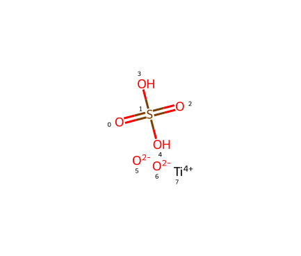 O=S(=O)(O)O.[O-2].[O-2].[Ti+4]